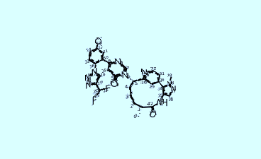 C[C@@H]1CCC[C@H](n2cnc(-c3cc(Cl)ccc3-n3cc(C(F)F)nn3)cc2=O)c2cc(ccn2)-c2c(cnn2C)NC1=O